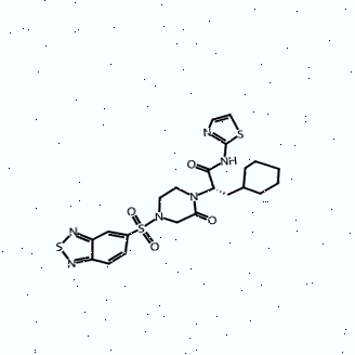 O=C(Nc1nccs1)[C@H](CC1CCCCC1)N1CCN(S(=O)(=O)c2ccc3nsnc3c2)CC1=O